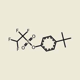 CC(C)(C)c1ccc(OS(=O)(=O)C(F)(F)C(F)F)cc1